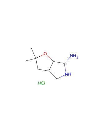 CC1(C)CC2CNC(N)C2O1.Cl